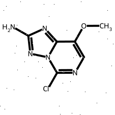 COc1cnc(Cl)n2nc(N)nc12